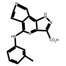 Cc1cccc(Nc2nc3c(C(=O)O)n[nH]c3c3cnccc23)c1